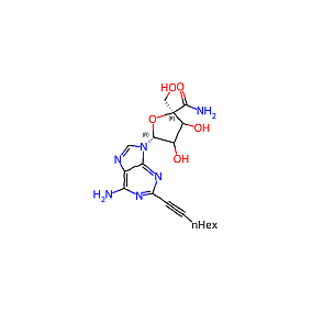 CCCCCCC#Cc1nc(N)c2ncn([C@@H]3O[C@@](CO)(C(N)=O)C(O)C3O)c2n1